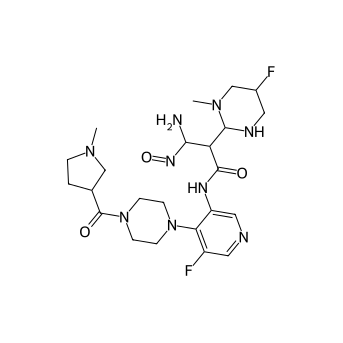 CN1CCC(C(=O)N2CCN(c3c(F)cncc3NC(=O)C(C(N)N=O)C3NCC(F)CN3C)CC2)C1